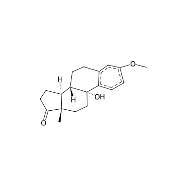 COc1ccc2c(c1)CC[C@H]1[C@@H]3CCC(=O)[C@@]3(C)CC[C@]21O